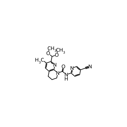 COC(OC)c1nc2c(cc1C)CCCN2C(=O)Nc1ccc(C#N)cn1